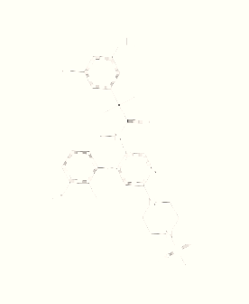 Cc1c(Cl)cccc1-c1cc(N2CCN(S(C)(=O)=O)CC2)ncc1N(C)C(=O)C(C)(C)c1cc(C(F)(F)F)cc(C(F)(F)F)c1